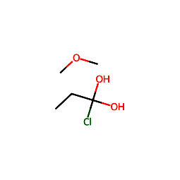 CCC(O)(O)Cl.COC